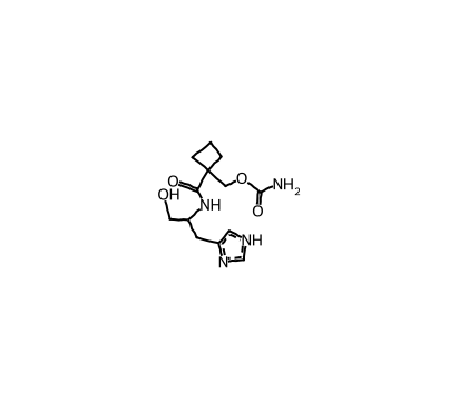 NC(=O)OCC1(C(=O)NC(CO)Cc2c[nH]cn2)CCC1